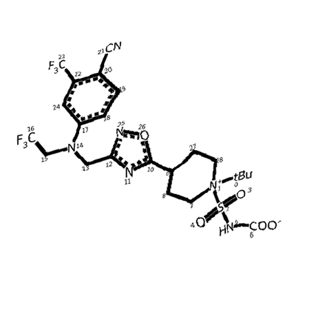 CC(C)(C)[N+]1(S(=O)(=O)NC(=O)[O-])CCC(c2nc(CN(CC(F)(F)F)c3ccc(C#N)c(C(F)(F)F)c3)no2)CC1